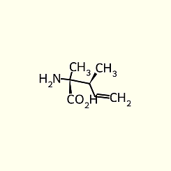 C=C[C@H](C)[C@@](C)(N)C(=O)O